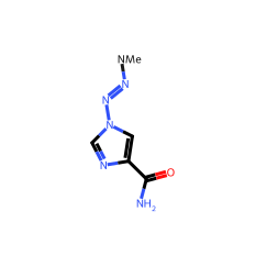 CNN=Nn1cnc(C(N)=O)c1